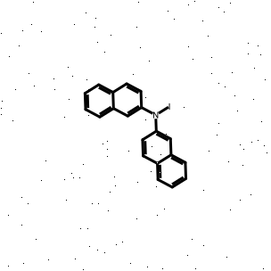 IN(c1ccc2ccccc2c1)c1ccc2ccccc2c1